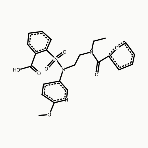 CCN(CCN(c1ccc(OC)nc1)S(=O)(=O)c1ccccc1C(=O)O)C(=O)c1ccccc1